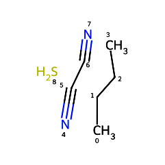 CCCC.N#CC#N.S